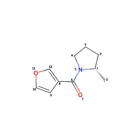 [CH2][C@H]1CCCN1C(=O)c1ccoc1